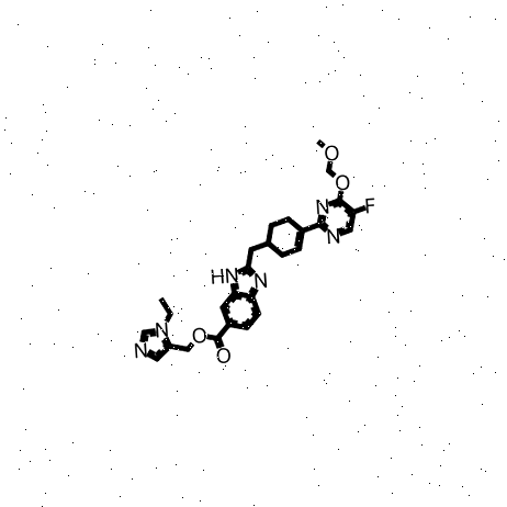 CCn1cncc1COC(=O)c1ccc2nc(CC3CC=C(c4ncc(F)c(OCOC)n4)CC3)[nH]c2c1